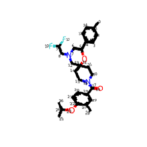 Cc1ccc(C2CN(CC(F)F)CC3(CCN(C(=O)c4ccc(OC(C)C)c(C)c4)CC3)O2)cc1